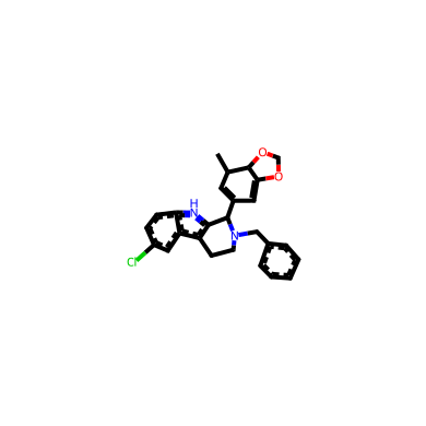 CC1C=C(C2c3[nH]c4ccc(Cl)cc4c3CCN2Cc2ccccc2)C=C2OCOC21